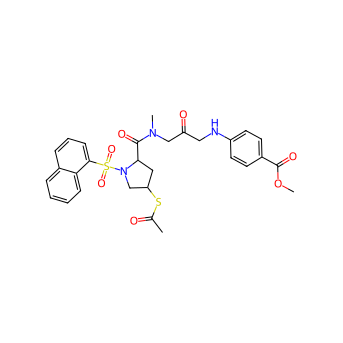 COC(=O)c1ccc(NCC(=O)CN(C)C(=O)C2CC(SC(C)=O)CN2S(=O)(=O)c2cccc3ccccc23)cc1